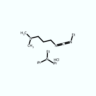 CCN(C(C)C)C(C)C.CCN=C=NCCCN(C)C.Cl